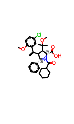 C=C(c1cc(Cl)ccc1OC)C1C(C(C)(C)OC)[C@H](C(=O)O)N(C(=O)C2CCCCC2)[C@@H]1c1ccccc1